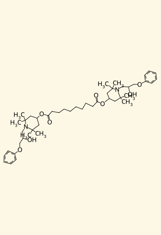 CC1(C)CC(OC(=O)CCCCCCCCC(=O)OC2CC(C)(C)N(CC(O)COc3ccccc3)C(C)(C)C2)CC(C)(C)N1CC(O)COc1ccccc1